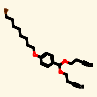 C#CCCOC(OCCC#C)c1ccc(OCCCCCCCCBr)cc1